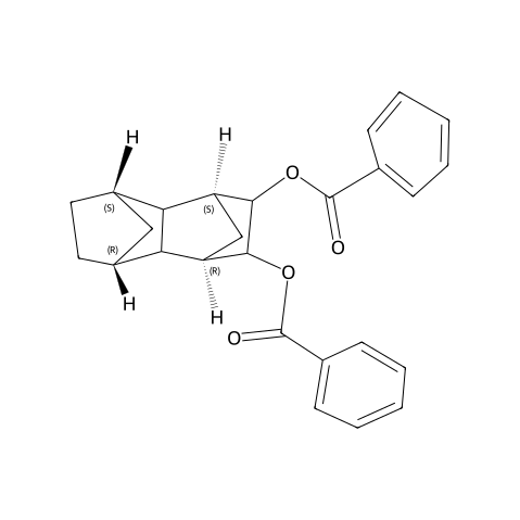 O=C(OC1C(OC(=O)c2ccccc2)[C@@H]2C[C@H]1C1C2[C@@H]2CC[C@H]1C2)c1ccccc1